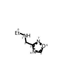 CCNCc1ncon1